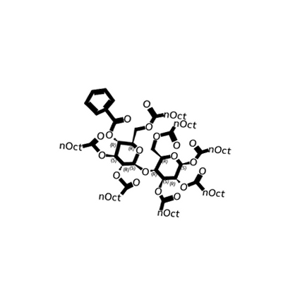 CCCCCCCCC(=O)OC[C@H]1O[C@@H](O[C@H]2[C@H](OC(=O)CCCCCCCC)[C@@H](OC(=O)CCCCCCCC)[C@H](OC(=O)CCCCCCCC)O[C@@H]2COC(=O)CCCCCCCC)[C@H](OC(=O)CCCCCCCC)[C@@H](OC(=O)CCCCCCCC)[C@@H]1OC(=O)c1ccccc1